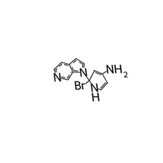 NC1=CC(Br)(n2ccc3ccncc32)NC=C1